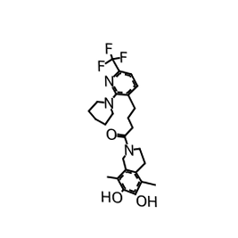 Cc1c(O)c(O)c(C)c2c1CCN(C(=O)CCCc1ccc(C(F)(F)F)nc1N1CCCCC1)C2